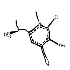 CCc1c(O)c(=O)cc(C(C)O)n1C